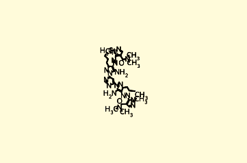 CCCCc1nn(-c2cc(-n3nc(CCCC)c(/N=N/c4c(C(=O)N(C)C)cnn4C)c3N)ncn2)c(N)c1/N=N/c1c(C(=O)N(C)C)cnn1C